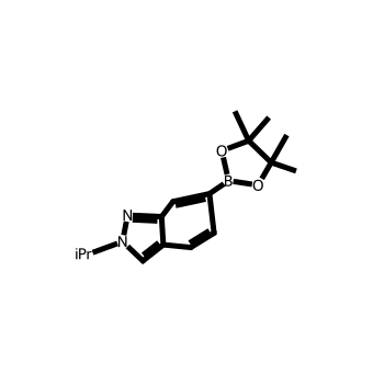 CC(C)n1cc2ccc(B3OC(C)(C)C(C)(C)O3)cc2n1